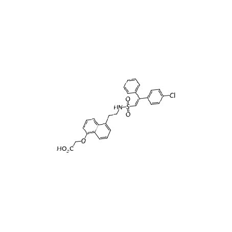 O=C(O)COc1cccc2c(CCNS(=O)(=O)/C=C(\c3ccccc3)c3ccc(Cl)cc3)cccc12